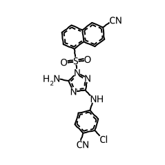 N#Cc1ccc2c(S(=O)(=O)n3nc(Nc4ccc(C#N)c(Cl)c4)nc3N)cccc2c1